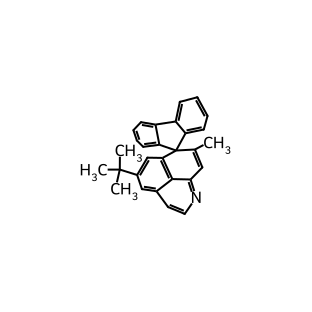 CC1=Cc2nccc3cc(C(C)(C)C)cc(c23)C12c1ccccc1-c1ccccc12